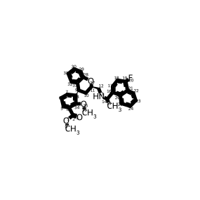 COC(=O)c1cccc([C@H]2C[C@H](CNC(C)c3ccc(F)c4ccccc34)Oc3ccccc32)c1OC